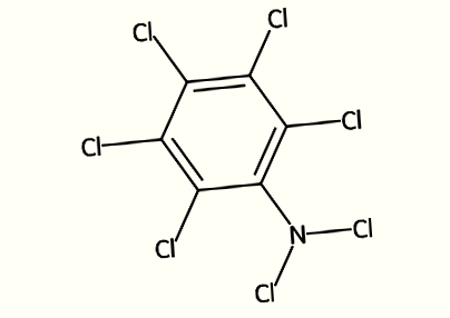 Clc1c(Cl)c(Cl)c(N(Cl)Cl)c(Cl)c1Cl